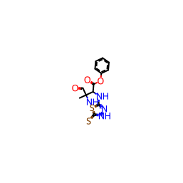 CC(N)(C=O)C(Nc1n[nH]c(=S)s1)C(=O)Oc1ccccc1